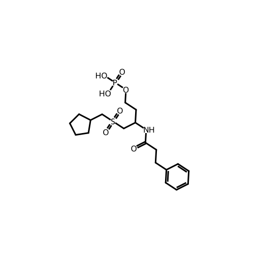 O=C(CCc1ccccc1)NC(CCOP(=O)(O)O)CS(=O)(=O)CC1CCCC1